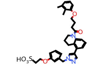 Cc1cccc(OCCCC(=O)N2CCCc3c(-c4cnn(Cc5cccc(OCCS(=O)(=O)O)c5)c4)cccc32)c1C